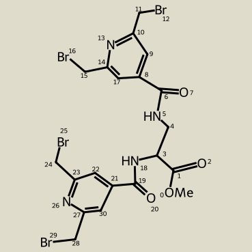 COC(=O)C(CNC(=O)c1cc(CBr)nc(CBr)c1)NC(=O)c1cc(CBr)nc(CBr)c1